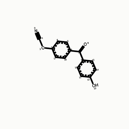 N#COc1ccc(C(=O)c2ccc(O)cc2)cc1